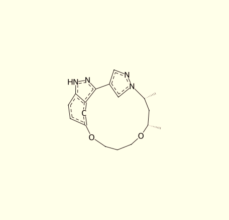 C[C@@H]1C[C@H](C)OCCCOc2ccc3[nH]nc(c3c2)-c2cnn1c2